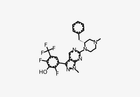 CN1CCN(c2ncc3c(-c4cc(C(F)(F)F)c(F)c(O)c4F)nn(C)c3n2)[C@H](Cc2ccccc2)C1